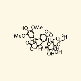 [2H]CC1OC[C@H]2O[C@@H](O[C@@H]3c4cc5c(cc4[C@@H](c4cc(OC)c(O)c(OC)c4)[C@H]4C(=O)OC[C@@H]43)OCO5)[C@H](O)[C@@H](O)[C@@H]2O1